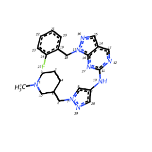 CN1CCCC(Cn2cc(Nc3ncc4cnn(Cc5ccccc5F)c4n3)cn2)C1